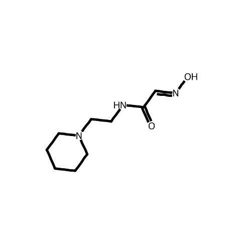 O=C(C=NO)NCCN1CCCCC1